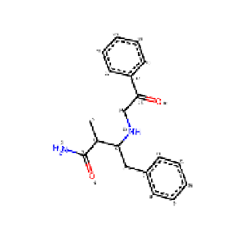 CC(C(N)=O)C(Cc1ccccc1)NCC(=O)c1ccccc1